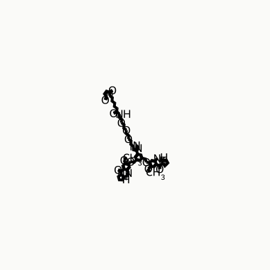 COc1cc2c(cc1OCc1cc(COc3cc4c(cc3OC)C(=O)N3CCC[C@H]3C=N4)cc(-c3cn(CCOCCOCCOCCNC(=O)CCCCCN4C(=O)C=CC4=O)nn3)c1)N=C[C@@H]1CCCN1C2=O